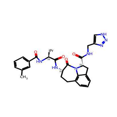 Cc1cccc(C(=O)N[C@H](C(=O)N[C@H]2CCc3cccc4c3N(C2=O)[C@H](C(=O)NCc2c[nH]nn2)C4)C(C)C)c1